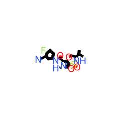 C=C(C)C1COc2c(cn(C)c2C(=O)Nc2ccc(F)c(C#N)c2)S(=O)(=O)N1